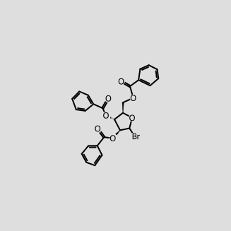 O=C(OC[C@H]1OC(Br)[C@@H](OC(=O)c2ccccc2)[C@@H]1OC(=O)c1ccccc1)c1ccccc1